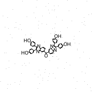 O=C(c1ccc2nc(-c3ccc(O)cc3)c(-c3ccc(O)cc3)nc2c1)c1ccc2nc(-c3ccc(O)cc3)c(-c3ccc(O)cc3)nc2c1